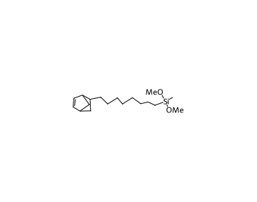 CO[Si](C)(CCCCCCCCC1CC2C=CC1C2)OC